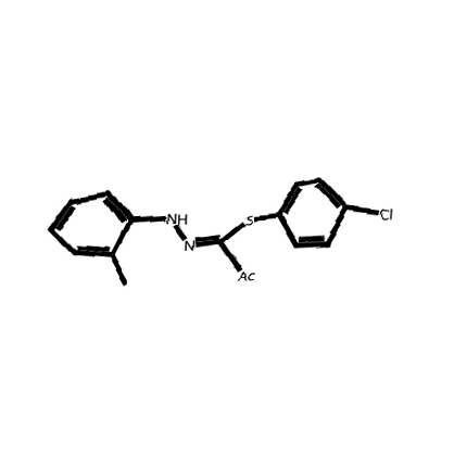 CC(=O)C(=NNc1ccccc1C)Sc1ccc(Cl)cc1